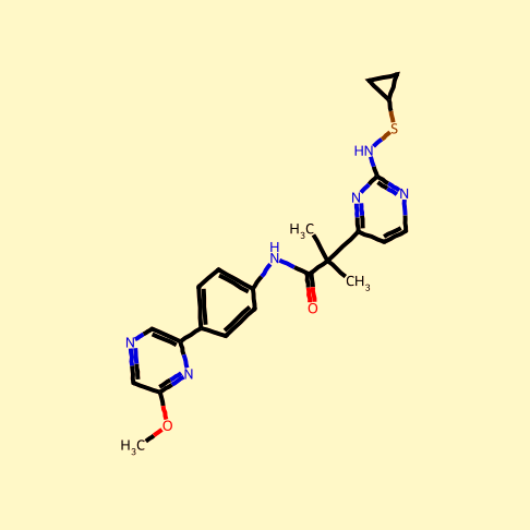 COc1cncc(-c2ccc(NC(=O)C(C)(C)c3ccnc(NSC4CC4)n3)cc2)n1